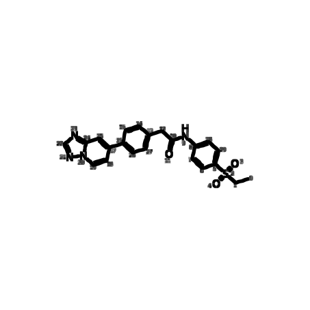 CCS(=O)(=O)c1ccc(NC(=O)Cc2ccc(-c3ccn4ncnc4c3)cc2)cc1